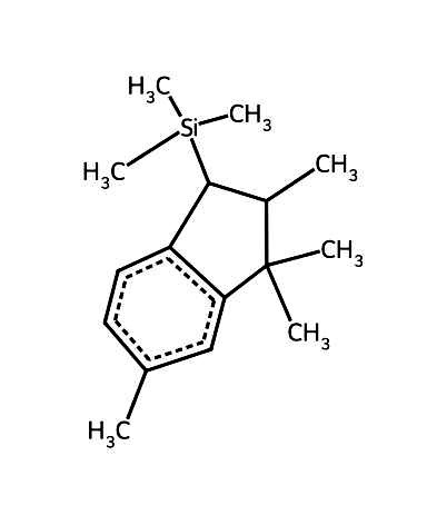 Cc1ccc2c(c1)C(C)(C)C(C)C2[Si](C)(C)C